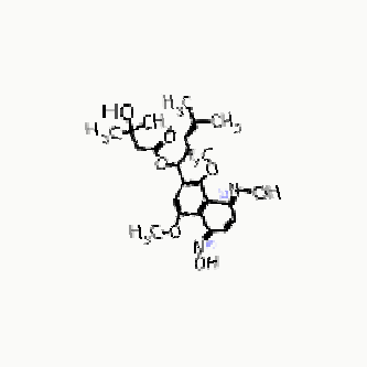 COc1cc(C(CC=C(C)C)OC(=O)CC(C)(C)O)c(OC)c2c1/C(=N/O)C=C/C2=N\O